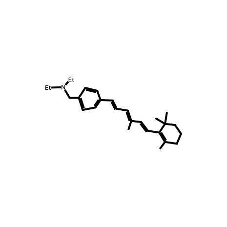 CCN(CC)Cc1ccc(/C=C/C=C(C)/C=C/C2=C(C)CCCC2(C)C)cc1